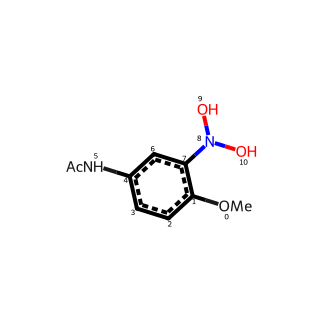 COc1ccc(NC(C)=O)cc1N(O)O